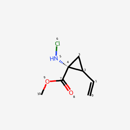 C=CC1C[C@]1(NCl)C(=O)OC